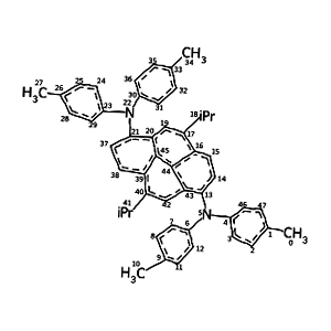 Cc1ccc(N(c2ccc(C)cc2)c2ccc3c(C(C)C)cc4c(N(c5ccc(C)cc5)c5ccc(C)cc5)ccc5c(C(C)C)cc2c3c54)cc1